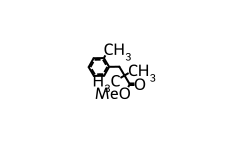 COC(=O)C(C)(C)Cc1ccccc1C